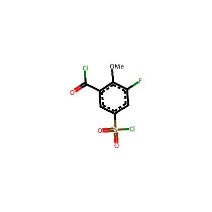 COc1c(F)cc(S(=O)(=O)Cl)cc1C(=O)Cl